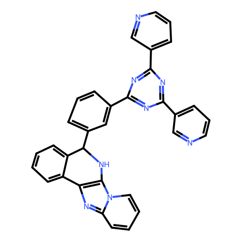 c1cncc(-c2nc(-c3cccnc3)nc(-c3cccc(C4Nc5c(nc6ccccn56)-c5ccccc54)c3)n2)c1